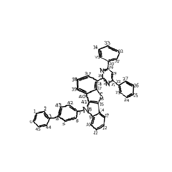 c1ccc(-c2ccc(-n3c4ccccc4c4sc5c(-c6nc(-c7ccccc7)cc(-c7ccccc7)n6)cccc5c43)cc2)cc1